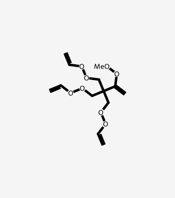 C=COOCC(COOC=C)(COOC=C)C(=C)OOC